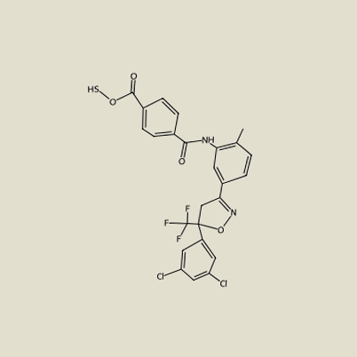 Cc1ccc(C2=NOC(c3cc(Cl)cc(Cl)c3)(C(F)(F)F)C2)cc1NC(=O)c1ccc(C(=O)OS)cc1